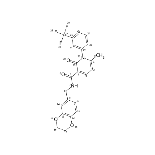 Cc1ccc(C(=O)NCc2ccc3c(c2)OCCO3)c(=O)n1-c1cccc(C(F)(F)F)c1